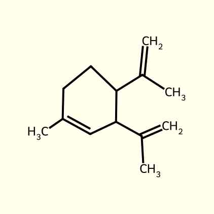 C=C(C)C1C=C(C)CCC1C(=C)C